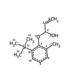 C=CC(O)Oc1c(C)cccc1[Si](C)(C)C